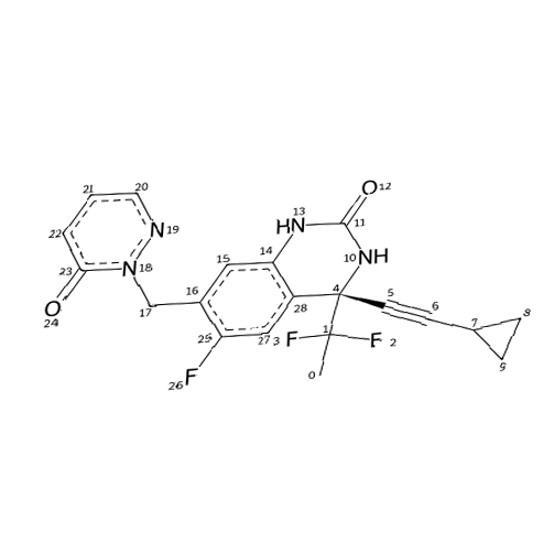 CC(F)(F)[C@@]1(C#CC2CC2)NC(=O)Nc2cc(Cn3ncccc3=O)c(F)cc21